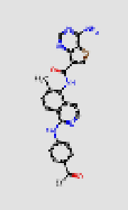 CCC(=O)c1ccc(Nc2nccc3c(NC(=O)c4csc5c(N)ncnc45)c(C)ccc23)cc1